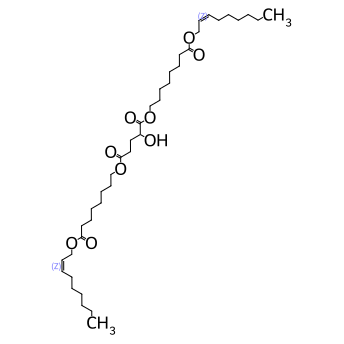 CCCCCC/C=C\COC(=O)CCCCCCCOC(=O)CCC(O)C(=O)OCCCCCCCC(=O)OC/C=C\CCCCCC